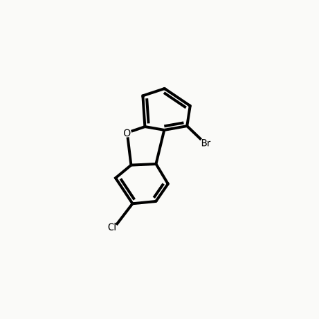 ClC1=CC2Oc3cccc(Br)c3C2C=C1